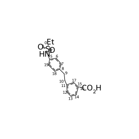 CCS(=O)(=O)Nc1ccc(CCc2cccc(C(=O)O)c2)cc1